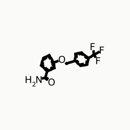 NC(=O)c1cccc(OCc2ccc(C(F)(F)F)cc2)c1